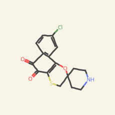 O=C1C(=O)c2ccc(Cl)cc2C2=C1SCC1(CCNCC1)O2